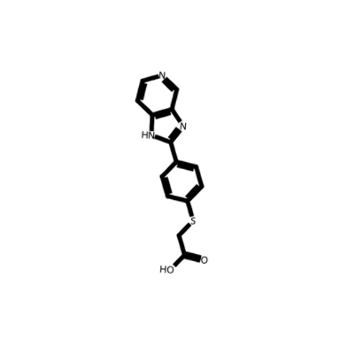 O=C(O)CSc1ccc(-c2nc3cnccc3[nH]2)cc1